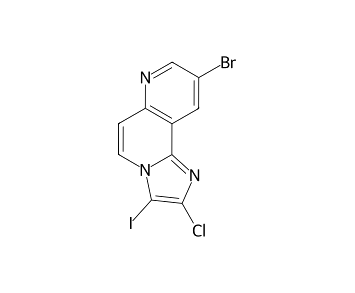 Clc1nc2c3cc(Br)cnc3ccn2c1I